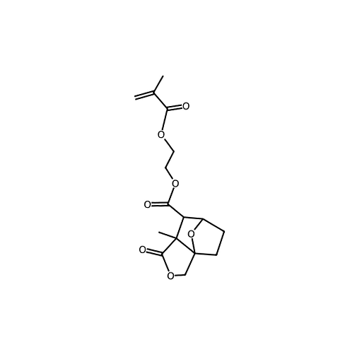 C=C(C)C(=O)OCCOC(=O)C1C2CCC3(COC(=O)C13C)O2